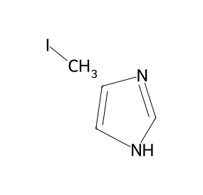 CI.c1c[nH]cn1